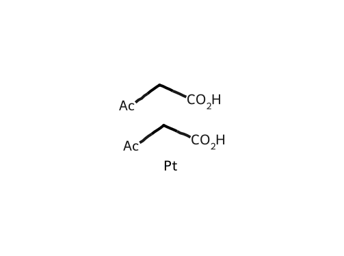 CC(=O)CC(=O)O.CC(=O)CC(=O)O.[Pt]